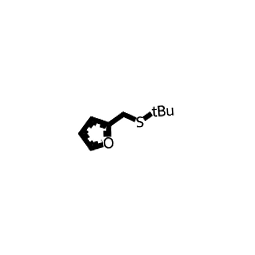 [CH2]C(C)(C)SCc1ccco1